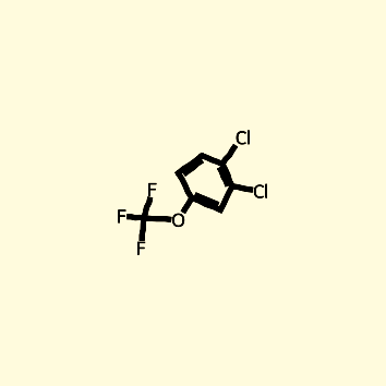 FC(F)(F)Oc1ccc(Cl)c(Cl)c1